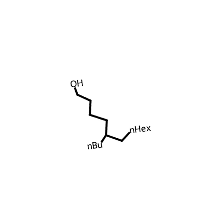 CCCCCCCC(CCCC)CCCCO